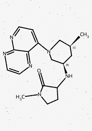 C[C@H]1C[C@@H](NC2CCN(C)C2=O)CN(c2ccnc3nccnc23)C1